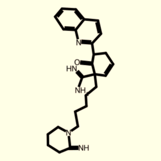 N=C1CCCCN1CCCCCC1(C(=N)N)C=CCC(c2ccc3ccccc3n2)C1=O